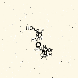 CC(O)[C@@H](C)Nc1nc(Nc2ccc(Nc3ncc(F)c(OCCO)n3)cc2)ncc1Br